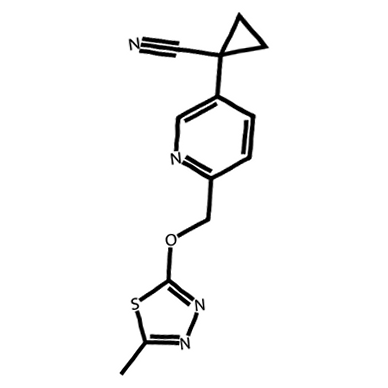 Cc1nnc(OCc2ccc(C3(C#N)CC3)cn2)s1